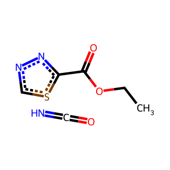 CCOC(=O)c1nncs1.N=C=O